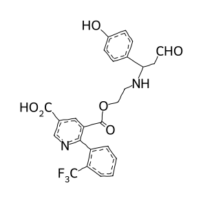 O=CCC(NCCOC(=O)c1cc(C(=O)O)cnc1-c1ccccc1C(F)(F)F)c1ccc(O)cc1